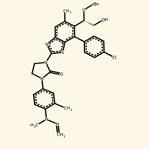 C=NN(C)c1ccc(N2CCN(c3nc4cc(C)c([C@@H](CO)OC(C)(C)C)c(-c5ccc(Cl)cc5)c4s3)C2=O)cc1C